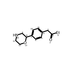 CCC(=O)Cc1ccc(C2CNCCO2)cc1